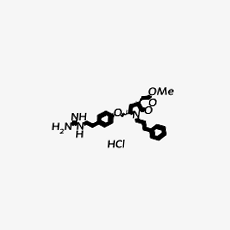 COC(=O)C[C@@H]1C[C@@H](COc2ccc(CCNC(=N)N)cc2)N(CCCc2ccccc2)C1=O.Cl